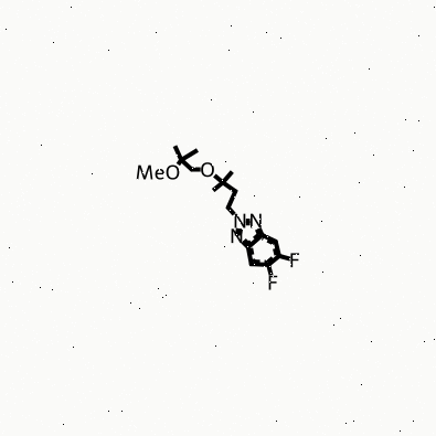 COC(C)(C)COC(C)(C)CCn1nc2cc(F)c(F)cc2n1